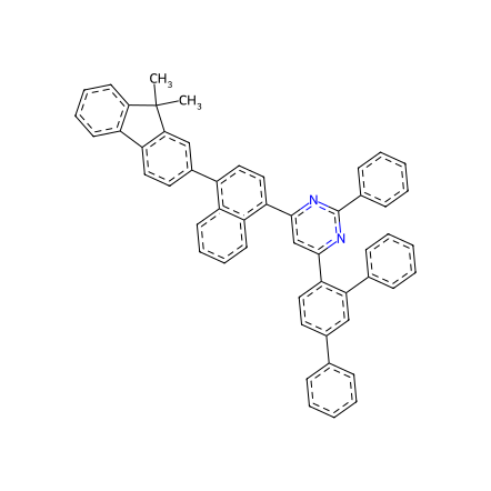 CC1(C)c2ccccc2-c2ccc(-c3ccc(-c4cc(-c5ccc(-c6ccccc6)cc5-c5ccccc5)nc(-c5ccccc5)n4)c4ccccc34)cc21